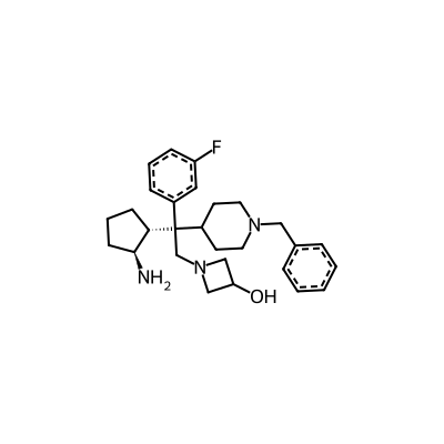 N[C@H]1CCC[C@@H]1C(CN1CC(O)C1)(c1cccc(F)c1)C1CCN(Cc2ccccc2)CC1